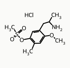 COc1cc(C)c(OS(C)(=O)=O)cc1CC(C)N.Cl